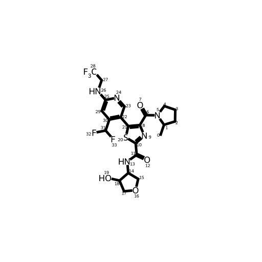 CC1CCCN1C(=O)c1nc(C(=O)NC2COCC2O)sc1-c1cnc(NCC(F)(F)F)cc1C(F)F